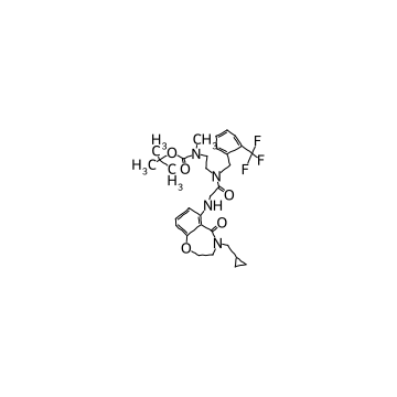 CN(CCN(Cc1ccccc1C(F)(F)F)C(=O)CNc1cccc2c1C(=O)N(CC1CC1)CCO2)C(=O)OC(C)(C)C